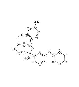 N#Cc1ccc([C@H]2CC(O)(c3cccc(OC4CCCCO4)c3)c3cncn32)c(F)c1